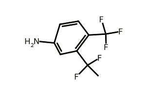 CC(F)(F)c1cc(N)ccc1C(F)(F)F